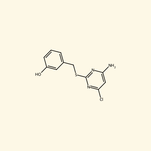 Nc1cc(Cl)nc(SCc2cccc(O)c2)n1